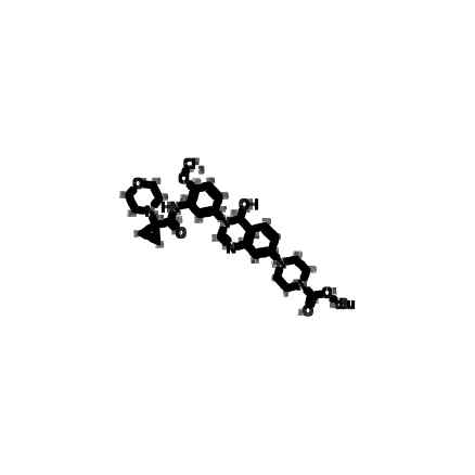 CC(C)(C)OC(=O)N1CCN(c2ccc3c(c2)N=CN(c2ccc(OC(F)(F)F)c(NC(=O)C4(N5CCOCC5)CC4)c2)C3O)CC1